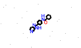 O=C(Nc1ccc(-c2nc3ccncc3[nH]2)cc1)C1CCCCC1